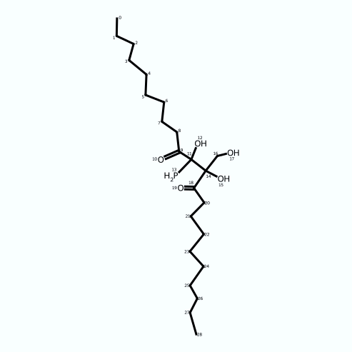 CCCCCCCCCC(=O)C(O)(P)C(O)(CO)C(=O)CCCCCCCCC